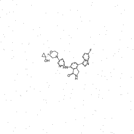 O=C1NCc2c(-c3cnc4cc(F)ccn34)ccc(Nc3ccc(N4CCO[C@@H](C5(O)CC5)C4)cn3)c21